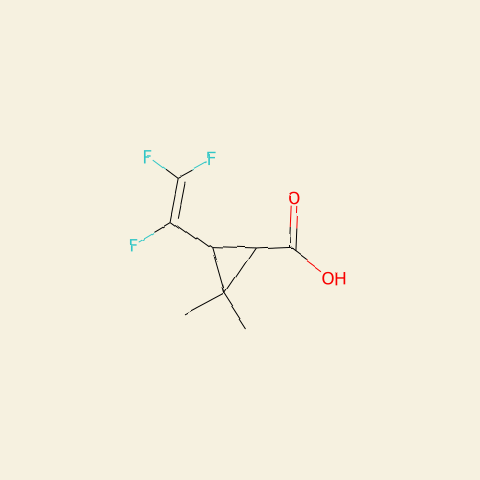 CC1(C)C(C(=O)O)C1C(F)=C(F)F